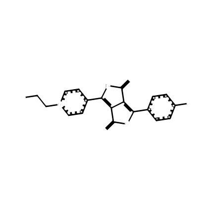 O=C1NC(c2cc[n+](CCS)cc2)=C2C(=O)NC(c3ccc(Cl)cc3)=C12